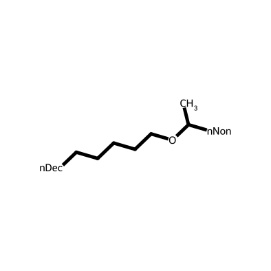 CCCCCCCCCCCCCCCOC(C)CCCCCCCCC